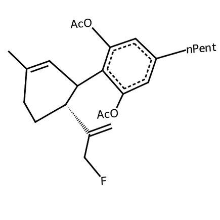 C=C(CF)[C@@H]1CCC(C)=CC1c1c(OC(C)=O)cc(CCCCC)cc1OC(C)=O